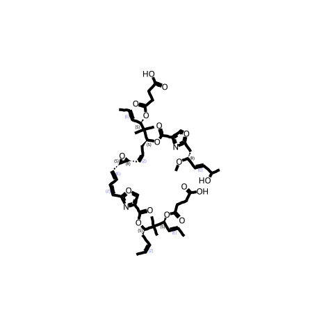 C/C=C\C[C@H](OC(=O)c1coc(/C=C\C=C\[C@@H]2O[C@@H]2/C=C\C[C@H](OC(=O)c2coc(C[C@H](/C=C/C(C)O)OC)n2)C(C)(C)[C@H](/C=C/C)OC(=O)CCC(=O)O)n1)C(C)(C)[C@H](/C=C/C)OC(=O)CCC(=O)O